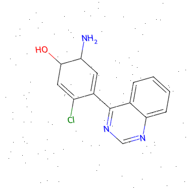 NC1C=C(c2ncnc3ccccc23)C(Cl)=CC1O